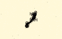 O=C1CCN(c2ccc(NC(=O)CCCCCC(=O)N3CCCCC3)cc2)C(=O)N1